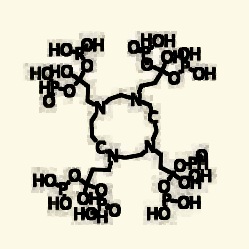 O=[PH](O)OC(O)(CCN1CCCN(CCC(O)(OP(O)O)O[PH](=O)O)CCN(CCC(O)(OP(O)O)O[PH](=O)O)CCCN(CCC(O)(OP(O)O)O[PH](=O)O)CC1)OP(O)O